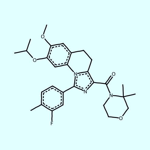 COc1cc2c(cc1OC(C)C)-n1c(-c3ccc(C)c(F)c3)nc(C(=O)N3CCOCC3(C)C)c1CC2